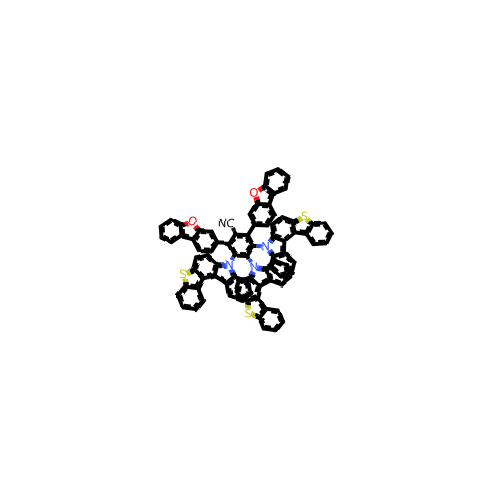 N#Cc1c(-c2ccc3c(c2)oc2ccccc23)c(-n2c3ccccc3c3c4c(ccc32)sc2ccccc24)c(-n2c3ccccc3c3c4c(ccc32)sc2ccccc24)c(-n2c3ccccc3c3c4c(ccc32)sc2ccccc24)c1-c1ccc2c(c1)oc1ccccc12